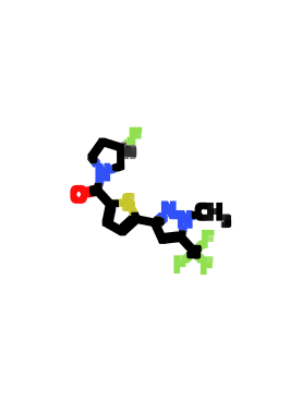 Cn1nc(-c2ccc(C(=O)N3CC[C@H](F)C3)s2)cc1C(F)(F)F